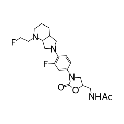 CC(=O)NCC1CN(c2ccc(N3CC4CCCN(CCF)C4C3)c(F)c2)C(=O)O1